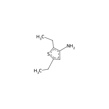 CCc1cc(N)c(CC)s1